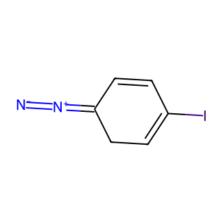 [N-]=[N+]=C1C=CC(I)=CC1